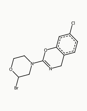 Clc1ccc2c(c1)OC(N1CCOC(Br)C1)=NC2